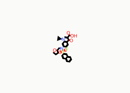 O=C(O)c1cn(C2CC2)c2cc(N(CC3CCCO3)S(=O)(=O)c3ccc4ccccc4c3)c(F)cc2c1=O